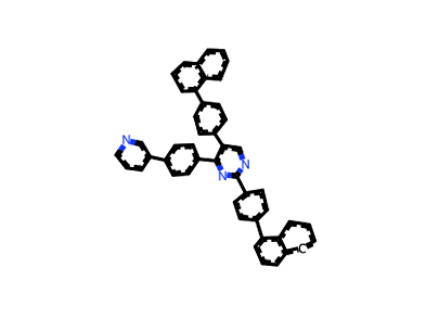 c1cncc(-c2ccc(-c3nc(-c4ccc(-c5cccc6ccccc56)cc4)ncc3-c3ccc(-c4cccc5ccccc45)cc3)cc2)c1